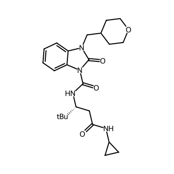 CC(C)(C)[C@@H](CC(=O)NC1CC1)NC(=O)n1c(=O)n(CC2CCOCC2)c2ccccc21